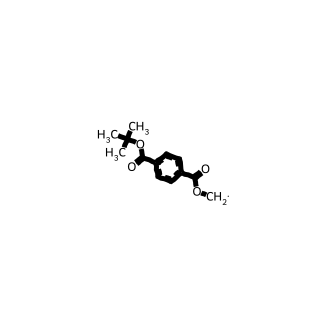 [CH2]OC(=O)c1ccc(C(=O)OC(C)(C)C)cc1